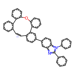 C1=C\c2ccc(-c3ccc4c(c3)nc(-c3ccccc3)n4-c3ccccc3)cc2-c2ccccc2Oc2ccccc2-c2ccccc2/1